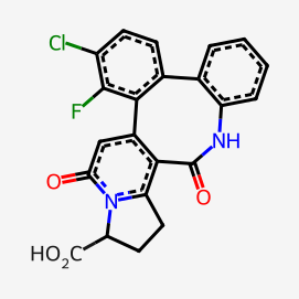 O=C1Nc2ccccc2-c2ccc(Cl)c(F)c2-c2cc(=O)n3c(c21)CCC3C(=O)O